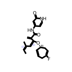 C=C(C(=O)Nc1cc[nH]c(=O)c1)/C(=C\C(C)=C/C)O[C@H]1C=CCC(F)=CC1